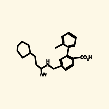 CCCC(CCC1CCCCC1)NCc1ccc(C(=O)O)c(-c2ccccc2C)c1